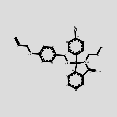 C=CCSc1ccc(COC2(c3ccc(Cl)cc3)c3ccccc3C(=O)N2CCC)cc1